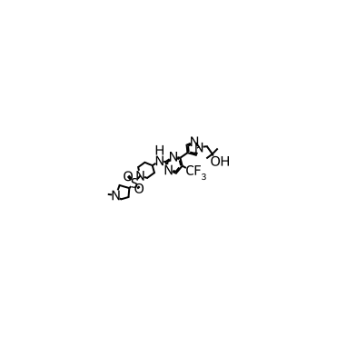 CN1CCC(S(=O)(=O)N2CCC(Nc3ncc(C(F)(F)F)c(-c4cnn(CC(C)(C)O)c4)n3)CC2)C1